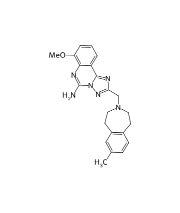 COc1cccc2c1nc(N)n1nc(CN3CCc4ccc(C)cc4CC3)nc21